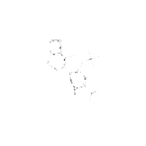 CC(C)(C)[C@@H]1Cc2c(ccc3occc23)-c2cc(=O)c(C(=O)O)cn21